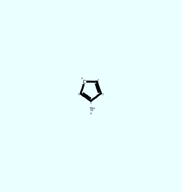 [Tl+].c1cc[cH-]c1